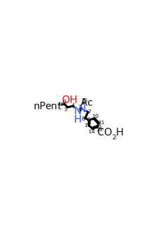 CCCCCC(O)CCNN(CCc1ccc(C(=O)O)cc1)C(C)=O